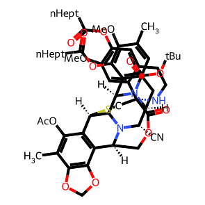 CCCCCCCC(=O)Oc1cc2c(cc1OC)[C@@]1(CS[C@@H]3c4c(OC(C)=O)c(C)c5c(c4[C@H](COC1=O)N1C3[C@H]3c4c(cc(C)c(OC)c4OC(=O)CCCCCCC)C[C@@H]([C@@H]1C#N)N3C(=O)OC(C)(C)C)OCO5)NCC2